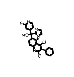 Cn1ccnc1C(O)(c1ccnc(F)c1)c1ccc2nc(Cl)c(-c3ccccc3)c(Cl)c2c1